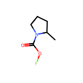 CC1CCCN1C(=O)OF